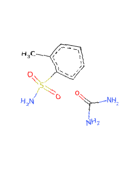 Cc1ccccc1S(N)(=O)=O.NC(N)=O